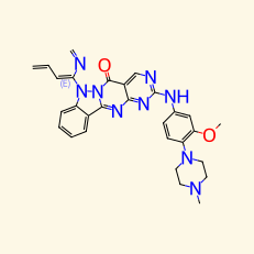 C=C/C=C(\N=C)n1c2ccccc2c2nc3nc(Nc4ccc(N5CCN(C)CC5)c(OC)c4)ncc3c(=O)n21